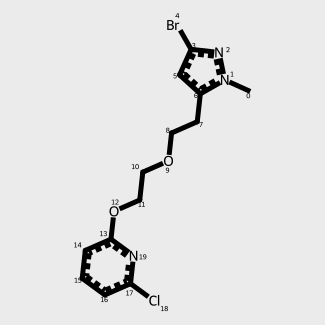 Cn1nc(Br)cc1CCOCCOc1cccc(Cl)n1